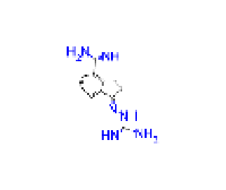 N=C(N)NN=C1CCc2c(C(=N)N)cccc21